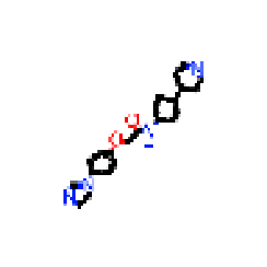 O=C(COc1ccc(-n2ccnc2)cc1)Nc1ccc(-c2ccncc2)cc1